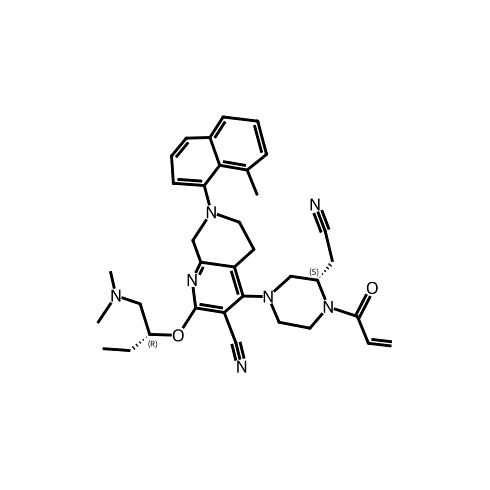 C=CC(=O)N1CCN(c2c(C#N)c(O[C@H](CC)CN(C)C)nc3c2CCN(c2cccc4cccc(C)c24)C3)C[C@@H]1CC#N